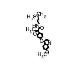 COc1ccc2c(Oc3ccc4c(C(=O)NCCCN(C)C)c(C)oc4c3)ccnc2c1